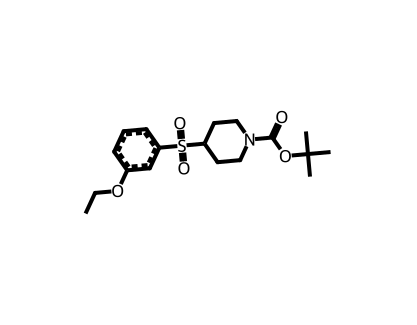 CCOc1cccc(S(=O)(=O)C2CCN(C(=O)OC(C)(C)C)CC2)c1